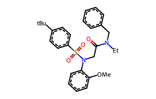 CCN(Cc1ccccc1)C(=O)CN(c1ccccc1OC)S(=O)(=O)c1ccc(C(C)(C)C)cc1